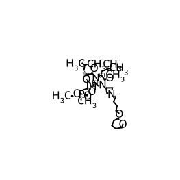 CCOP(C)(=O)CC(=O)N1O[C@H](CC(C)C)C(=O)N2[C@@H]1CN(C1CN(CCCCOC3CCCCO3)C1)C(=O)[C@@H]2CC(C)(C)C